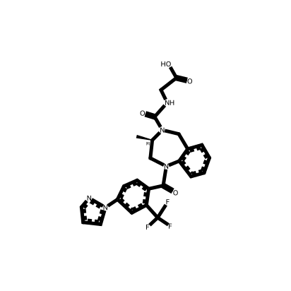 C[C@@H]1CN(C(=O)c2ccc(-n3cccn3)cc2C(F)(F)F)c2ccccc2CN1C(=O)NCC(=O)O